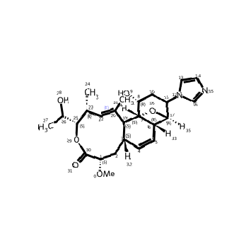 CO[C@H]1C[C@H]2C=C[C@@H]3[C@H]4[C@H](O)CC(n5ccnc5)[C@@H]3O[C@]42/C(C)=C/[C@@H](C)[C@@H](C(C)O)OC1=O